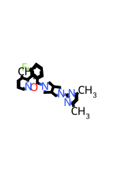 Cc1cc(C)nc(N2CC3CN(C(=O)c4cccc(F)c4C4N=CC=CC4C)CC3C2)n1